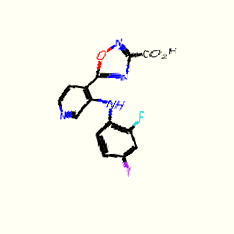 O=C(O)c1noc(-c2ccncc2Nc2ccc(I)cc2F)n1